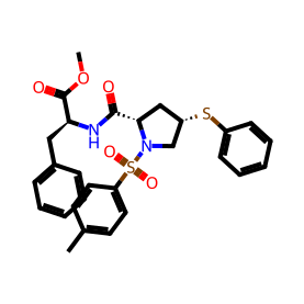 COC(=O)[C@H](Cc1ccccc1)NC(=O)[C@@H]1C[C@H](Sc2ccccc2)CN1S(=O)(=O)c1ccc(C)cc1